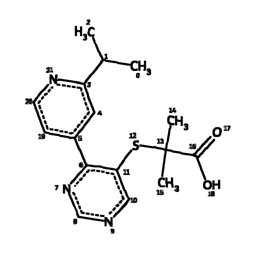 CC(C)c1cc(-c2ncncc2SC(C)(C)C(=O)O)ccn1